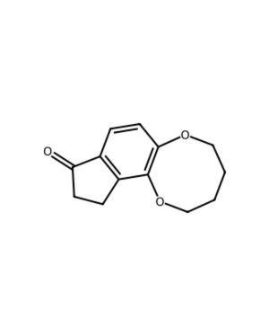 O=C1CCc2c1ccc1c2OCCCCO1